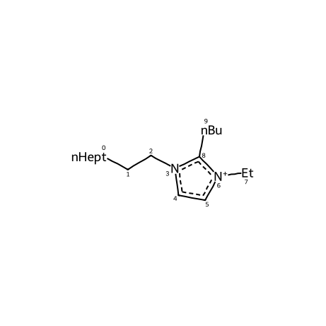 CCCCCCCCCn1cc[n+](CC)c1CCCC